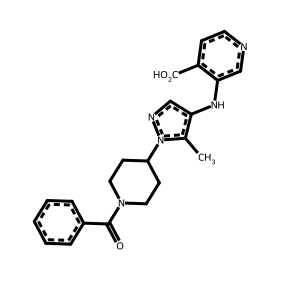 Cc1c(Nc2cnccc2C(=O)O)cnn1C1CCN(C(=O)c2ccccc2)CC1